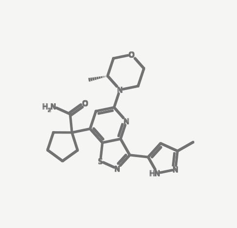 Cc1cc(-c2nsc3c(C4(C(N)=O)CCCC4)cc(N4CCOC[C@H]4C)nc23)[nH]n1